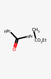 CCCC(=O)CCC.CCOC(C)=O